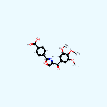 COc1cc(C(=O)c2coc(-c3ccc(C(=O)O)cc3)n2)cc(OC)c1OC